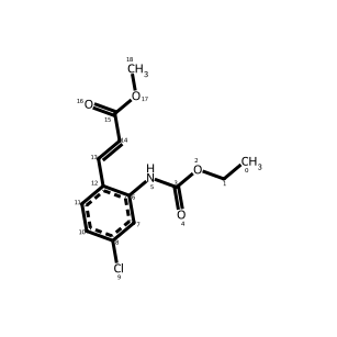 CCOC(=O)Nc1cc(Cl)ccc1/C=C/C(=O)OC